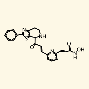 O=C(/C=C/c1cccc(/C=C/C(=O)C2NCCc3nc(-c4ccccc4)sc32)n1)NO